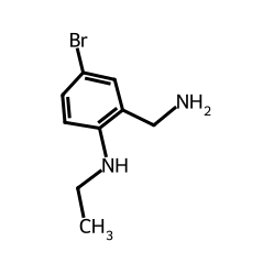 CCNc1ccc(Br)cc1CN